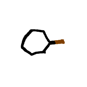 S=C1[C]CCCC1